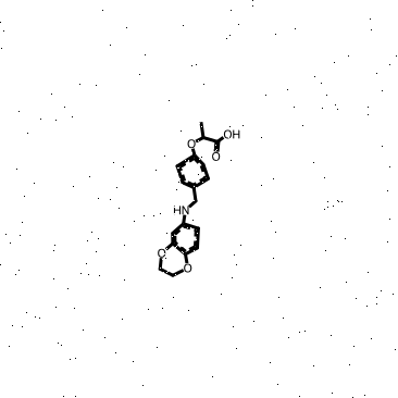 CC(Oc1ccc(CNc2ccc3c(c2)OCCO3)cc1)C(=O)O